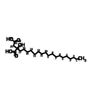 CCCCCCCCCCCCCCCCCCC(O)(CC(=O)O)C(=O)O